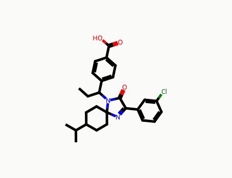 CCC(c1ccc(C(=O)O)cc1)N1C(=O)C(c2cccc(Cl)c2)=NC12CCC(C(C)C)CC2